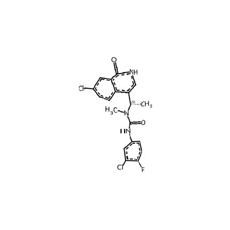 C[C@@H](c1c[nH]c(=O)c2cc(Cl)ccc12)N(C)C(=O)Nc1ccc(F)c(Cl)c1